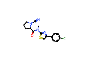 CN(C(=O)C1CCCN1C#N)c1nc(-c2ccc(Cl)cc2)cs1